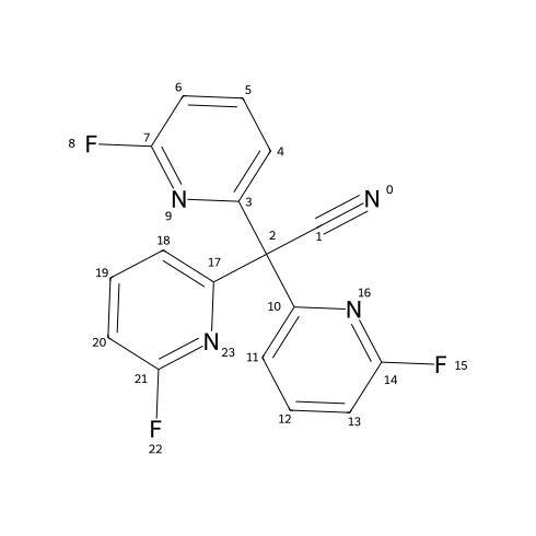 N#CC(c1cccc(F)n1)(c1cccc(F)n1)c1cccc(F)n1